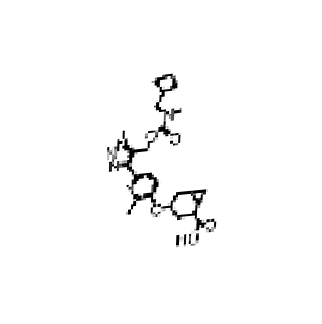 Cc1nc(-c2nnn(C)c2COC(=O)N(C)CC2CCC2)ccc1OC1CC2CC2C(C(=O)O)C1